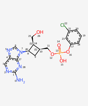 Nc1ncc2ncn([C@@H]3C[C@H](COP(=O)(O)Oc4cccc(Cl)c4)[C@@H]3CO)c2n1